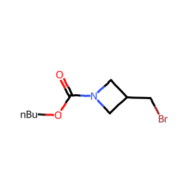 CCCCOC(=O)N1CC(CBr)C1